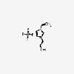 C=CN1C=CN(CCO)C1.F[B-](F)(F)F